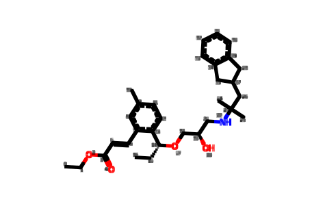 CCOC(=O)/C=C/c1cc(C)ccc1[C@@H](CC)OC[C@H](O)CNC(C)(C)CC1Cc2ccccc2C1